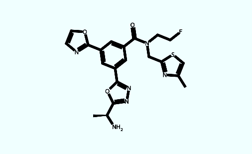 Cc1csc(CN(CCF)C(=O)c2cc(-c3ncco3)cc(-c3nnc([C@H](C)N)o3)c2)n1